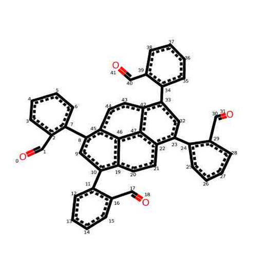 O=Cc1ccccc1-c1cc(-c2ccccc2C=O)c2ccc3c(-c4ccccc4C=O)cc(-c4ccccc4C=O)c4ccc1c2c43